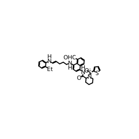 CCc1ccccc1N/C=C/CCCNc1ccc(NC(=O)C2CCCCN2[S+]([O-])c2cccs2)c2cccc(C=O)c12